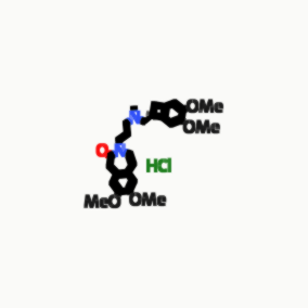 COc1cc2c(cc1OC)CC(=O)N(CCCN(C)C[C@H]1Cc3cc(OC)c(OC)cc31)C=C2.Cl